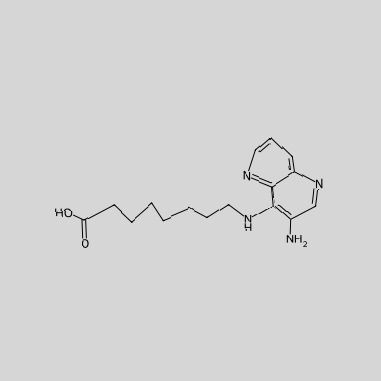 Nc1cnc2cccnc2c1NCCCCCCCC(=O)O